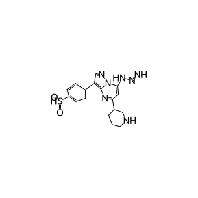 N=NNc1cc(C2CCCNC2)nc2c(-c3ccc([SH](=O)=O)cc3)cnn12